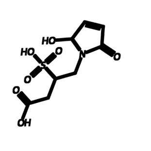 O=C(O)CC(CN1C(=O)C=CC1O)S(=O)(=O)O